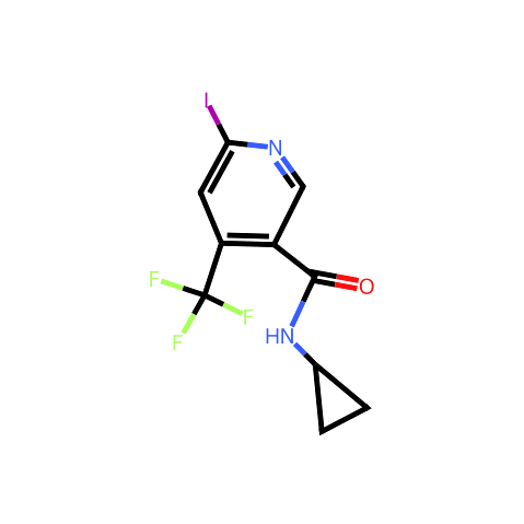 O=C(NC1CC1)c1cnc(I)cc1C(F)(F)F